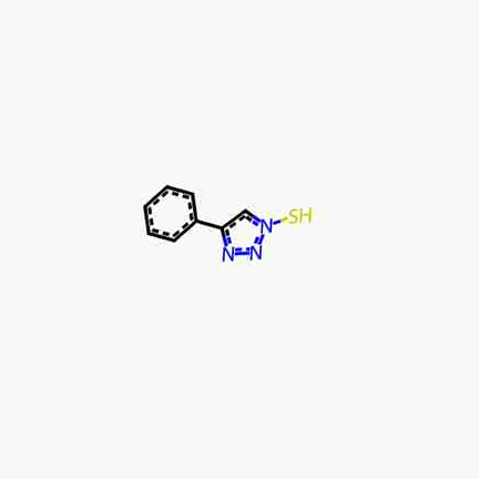 Sn1cc(-c2ccccc2)nn1